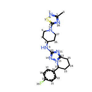 Cc1nsc(N2CCC(Nc3nc4n(n3)C(c3ccc(F)cc3)CCC4)CC2)n1